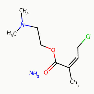 CC(=CCCl)C(=O)OCCN(C)C.N